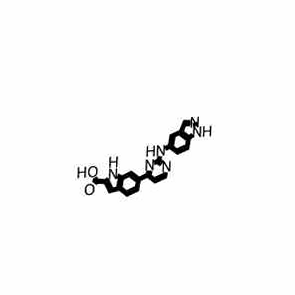 O=C(O)c1cc2ccc(-c3ccnc(Nc4ccc5[nH]ncc5c4)n3)cc2[nH]1